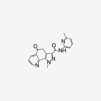 Cc1cccc(NC(=O)c2nn(C)c3c2CC(=O)c2cccnc2-3)n1